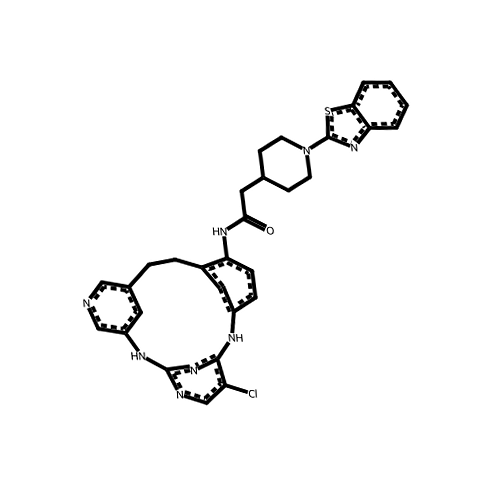 O=C(CC1CCN(c2nc3ccccc3s2)CC1)Nc1ccc2cc1CCc1cncc(c1)Nc1ncc(Cl)c(n1)N2